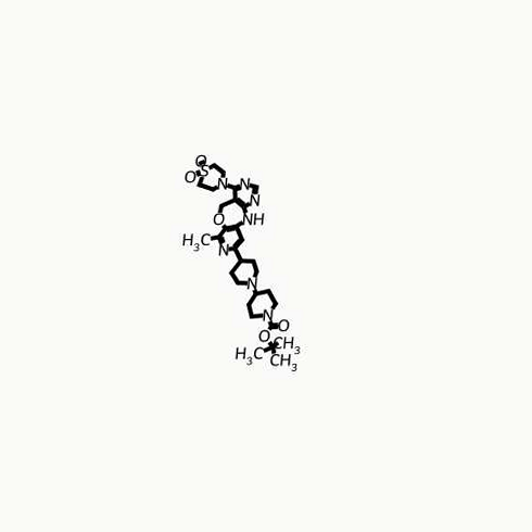 Cc1nc(C2CCN(C3CCN(C(=O)OC(C)(C)C)CC3)CC2)cc2c1OCc1c(ncnc1N1CCS(=O)(=O)CC1)N2